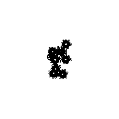 c1ccc(-c2nc(-c3ccccc3)nc(-c3cccc4oc5cc(-c6cc7c8c(cccc8c6)-c6ccccc6-7)ccc5c34)n2)cc1